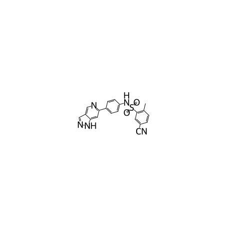 Cc1ccc(C#N)cc1S(=O)(=O)Nc1ccc(-c2cc3[nH]ncc3cn2)cc1